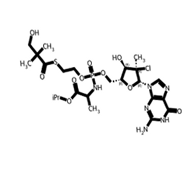 CC(C)OC(=O)C(C)NP(=O)(OCCSC(=O)C(C)(C)CO)OC[C@H]1O[C@@H](n2cnc3c(=O)[nH]c(N)nc32)[C@](C)(Cl)[C@@H]1O